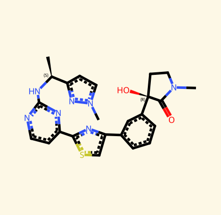 C[C@H](Nc1nccc(-c2nc(-c3cccc([C@]4(O)CCN(C)C4=O)c3)cs2)n1)c1ccn(C)n1